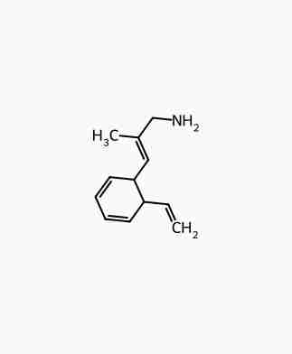 C=CC1C=CC=CC1/C=C(\C)CN